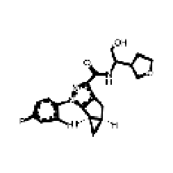 O=C(NC(CO)C1CCOC1)c1nn(-c2ccc(F)cc2F)c2c1C[C@H]1C[C@@H]21